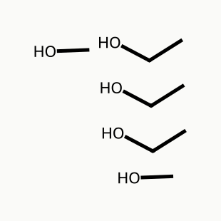 CCO.CCO.CCO.CO.CO